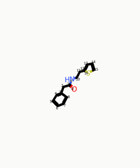 O=C(Cc1ccccc1)NCCc1cccs1